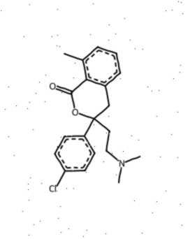 Cc1cccc2c1C(=O)OC(CCN(C)C)(c1ccc(Cl)cc1)C2